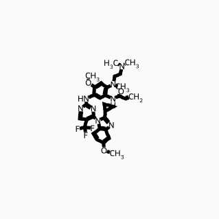 C=CC(=O)Nc1cc(Nc2ncc(C(F)(F)F)c(-n3c(C4CC4)nc4cc(OC)ccc43)n2)c(OC)cc1N(C)CCN(C)C